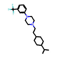 CC(C)C1CCC(CCN2CCN(c3cccc(C(F)(F)F)c3)CC2)CC1